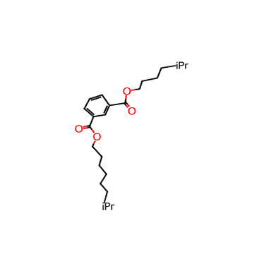 CC(C)CCCCCCOC(=O)c1cccc(C(=O)OCCCCC(C)C)c1